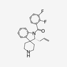 C=CC[C@H]1N(C(=O)c2cccc(F)c2F)c2ccccc2C12CCNCC2